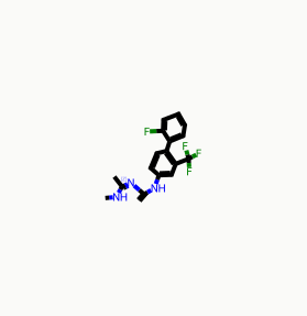 C=C(/N=C(/C)NC)Nc1ccc(-c2ccccc2F)c(C(F)(F)F)c1